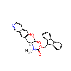 CN(C(=O)OCC1c2ccccc2-c2ccccc21)[C@@H](Cc1ccc2ccncc2c1)C(=O)O